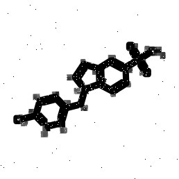 CS(=O)(=O)c1ccc2c(ccn2Cc2ccc(Cl)nn2)c1